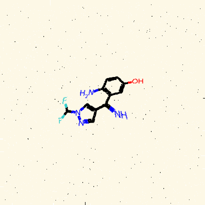 N=C(c1cnn(C(F)F)c1)c1cc(O)ccc1N